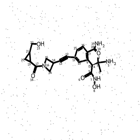 CC(C)(N)[C@@H](C(=O)NO)c1cc(C#CC2CN(C(=O)C3CC3CO)C2)ccc1C(N)=O